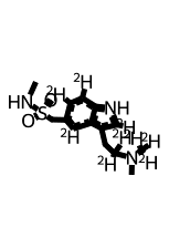 [2H]c1[nH]c2c([2H])c([2H])c(CS(=O)(=O)NC)c([2H])c2c1CC([2H])([2H])N(C)C([2H])([2H])[2H]